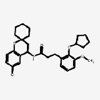 COc1cccc(CCC(=O)NC2CC3(CCCCC3)Oc3ccc(Cl)cc32)c1OC1CCCC1